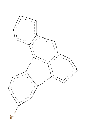 Brc1ccc2c(c1)-c1cccc3cc4ccccc4c-2c13